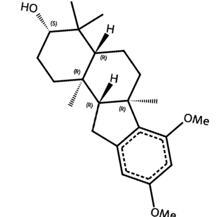 COc1cc2c(c(OC)c1)[C@]1(C)CC[C@H]3C(C)(C)[C@@H](O)CC[C@]3(C)[C@H]1C2